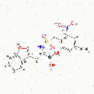 Cc1ccc(CS(=O)(=O)N[C@@H](Cc2coc3ccccc23)B(O)O)c([N+](=O)[O-])c1